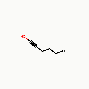 [CH2]CCCC#CO